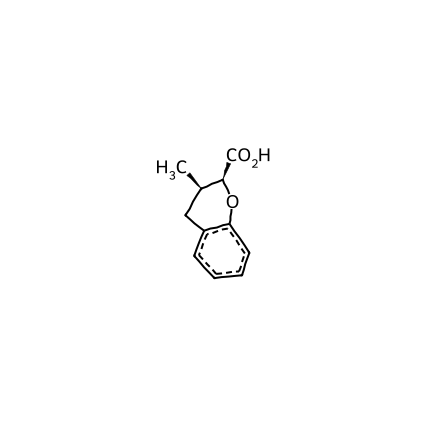 C[C@@H]1Cc2ccccc2O[C@@H]1C(=O)O